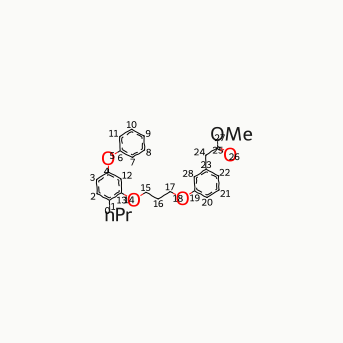 CCCc1ccc(Oc2ccccc2)cc1OCCCOc1cccc(CC(=O)OC)c1